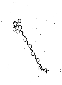 [N-]=[N+]=NCCOCCOCCOCCOCCCC(=O)ON1C(=O)CCC1=O